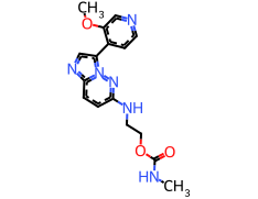 CNC(=O)OCCNc1ccc2ncc(-c3ccncc3OC)n2n1